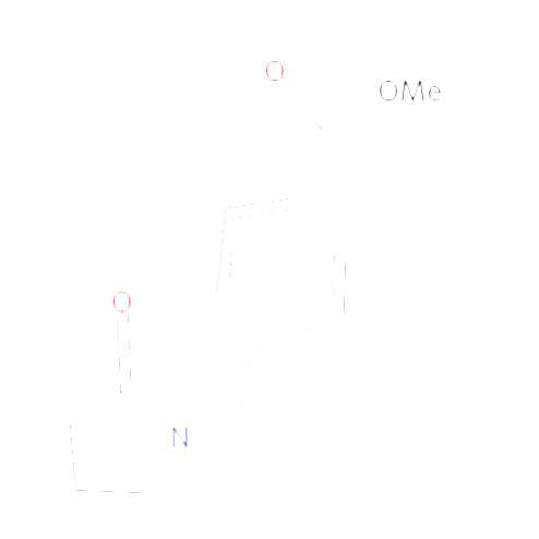 COC(=O)c1ccc(CN2CCCC2=O)cc1